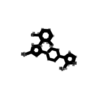 Cc1cc(N2CCC(c3nc[nH]c3C)CC2)n(-c2c(F)cccc2Cl)n1